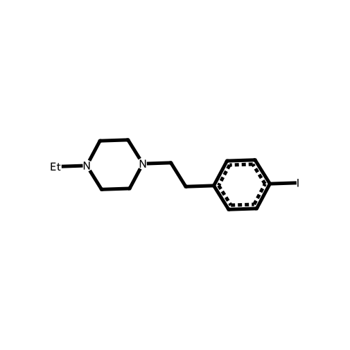 CCN1CCN(CCc2ccc(I)cc2)CC1